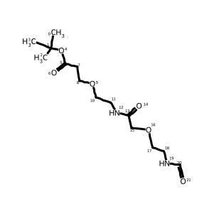 CC(C)(C)OC(=O)CCOCCNC(=O)COCCNC=O